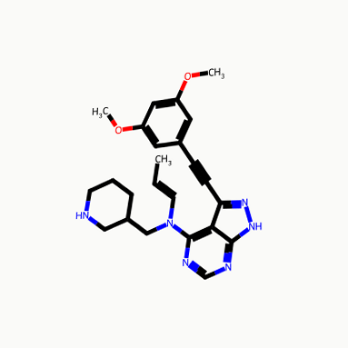 CC=CN(CC1CCCNC1)c1ncnc2[nH]nc(C#Cc3cc(OC)cc(OC)c3)c12